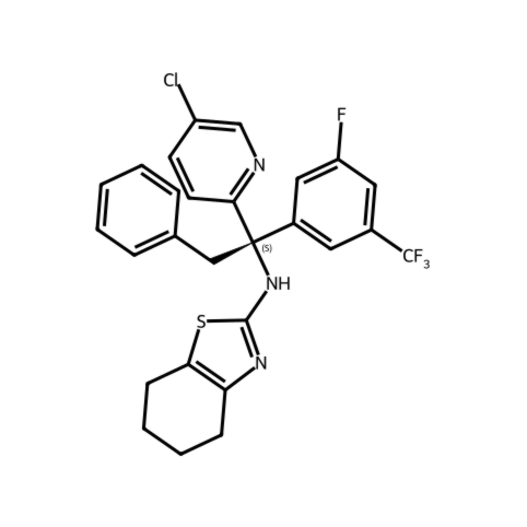 Fc1cc(C(F)(F)F)cc([C@](Cc2ccccc2)(Nc2nc3c(s2)CCCC3)c2ccc(Cl)cn2)c1